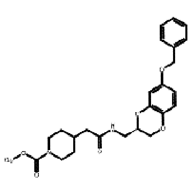 CC(C)(C)OC(=O)N1CCC(CC(=O)NC[C@@H]2COc3ccc(OCc4ccccc4)cc3O2)CC1